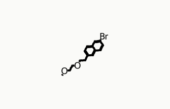 COCCOCCc1ccc2cc(Br)ccc2c1